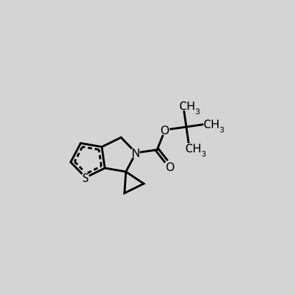 CC(C)(C)OC(=O)N1Cc2ccsc2C12CC2